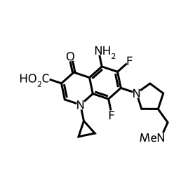 CNCC1CCN(c2c(F)c(N)c3c(=O)c(C(=O)O)cn(C4CC4)c3c2F)C1